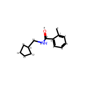 Cc1ccccc1C(=O)NCC1CCCC1